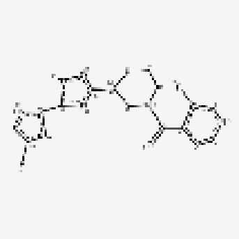 O=C(c1ccncc1F)N1CCC[C@H](c2nc(-c3cc(F)c[nH]3)no2)C1